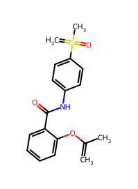 C=C(C)Oc1ccccc1C(=O)Nc1ccc(S(=C)(C)=O)cc1